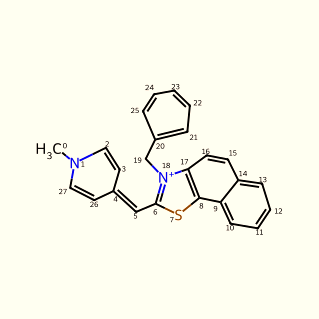 CN1C=CC(=Cc2sc3c4ccccc4ccc3[n+]2Cc2ccccc2)C=C1